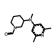 Cc1cc(N(C)C2CCCN(C=O)C2)cc(C)n1